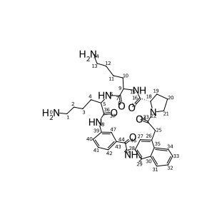 NCCCCC(NC(=O)C(CCCCN)NC(=O)[C@@H]1CCCN1C(=O)Cc1cccc2ccccc12)C(=O)Nc1cccc(C(N)=O)c1